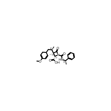 COC1=CCC(C[C@@H](C)[C@@]2(C)C(=O)N(C(=O)N[C@H](C)c3ccccc3)[C@@H]2C(=O)O)C=C1